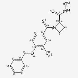 O=C(NO)[C@H]1CCN1C(=S)c1ccc(OCc2ccccc2)c(C(F)(F)F)c1